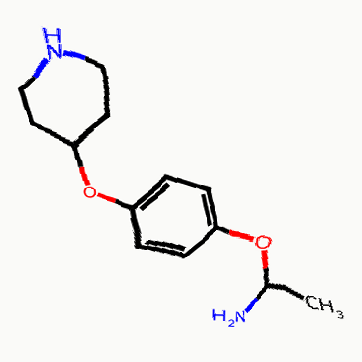 CC(N)Oc1ccc(OC2CCNCC2)cc1